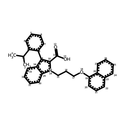 CC(C)c1ccccc1-c1c(C(=O)O)n(CCCOc2cccc3ccccc23)c2ccccc12